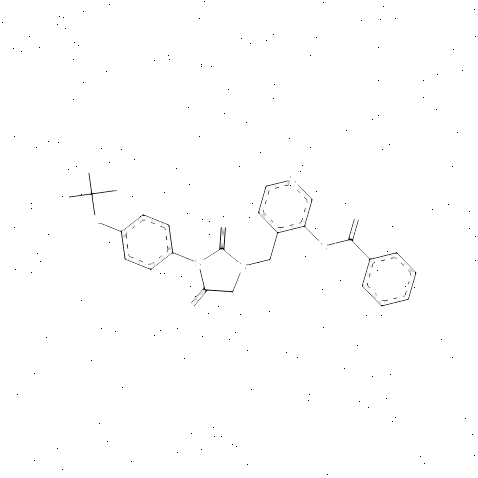 O=C(Nc1cnccc1CN1CC(=O)N(c2ccc(SC(F)(F)F)cc2)C1=O)c1ccccc1